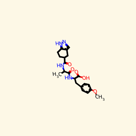 COc1ccc(CC(NC(=O)C(C)NC(=O)C2CCc3[nH]ncc3C2)C(=O)O)cc1